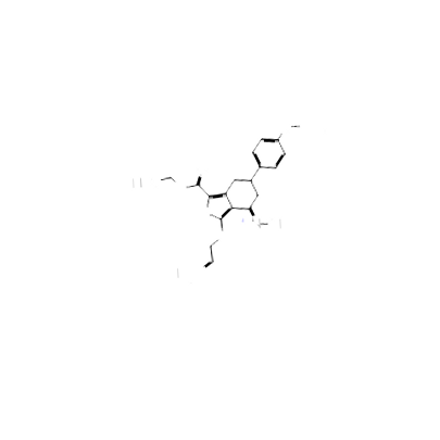 C=CCSc1sc(C(=O)OCC)c2c1/C(=N/O)CC(c1ccc(OC)cc1)C2